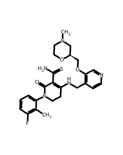 Cc1c(F)cccc1N1CCC(NCc2ccncc2OC[C@@H]2CN(C)CCO2)=C(C(N)=S)C1=O